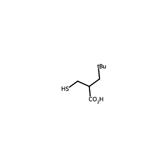 CC(C)(C)CC(CS)C(=O)O